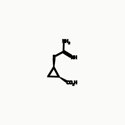 N=C(N)S[C@@H]1C[C@H]1C(=O)O